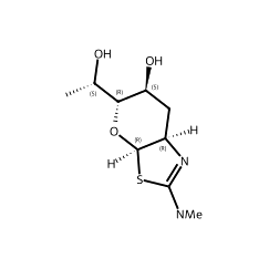 CNC1=N[C@@H]2C[C@H](O)[C@@H]([C@H](C)O)O[C@@H]2S1